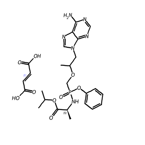 CC(C)OC(=O)[C@H](C)NP(=O)(COC(C)Cn1cnc2c(N)ncnc21)Oc1ccccc1.O=C(O)/C=C/C(=O)O